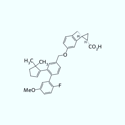 COc1ccc(F)c(-c2ccc(COc3ccc4c(c3)[C@@]3(C4)C[C@@H]3C(=O)O)cc2C2=CCCC2(C)C)c1